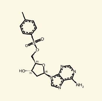 Cc1ccc(S(=O)(=O)OC[C@H]2O[C@@H](n3cnc4c(N)ncnc43)C[C@@H]2O)cc1